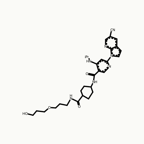 CC(C)Nc1cc(-n2ccc3cc(C#N)cnc32)ncc1C(=O)NC1CCC(C(=O)NCCCOCCCO)CC1